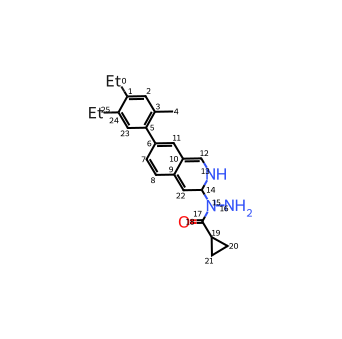 CCc1cc(C)c(-c2ccc3c(c2)=CNC(N(N)C(=O)C2CC2)C=3)cc1CC